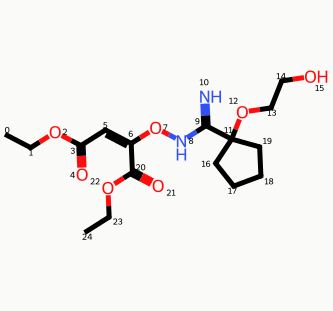 CCOC(=O)C=C(ONC(=N)C1(OCCO)CCCC1)C(=O)OCC